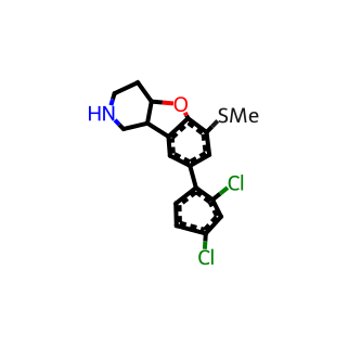 CSc1cc(-c2ccc(Cl)cc2Cl)cc2c1OC1CCNCC21